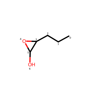 CCCC1OC1O